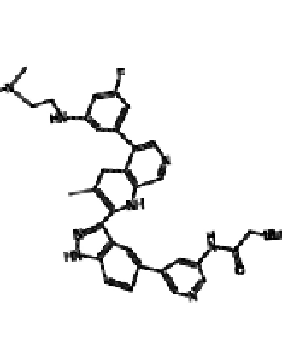 CC1=C(c2n[nH]c3ccc(-c4cncc(NC(=O)CC(C)(C)C)c4)cc23)Nc2cncc(-c3cc(F)cc(NCCN(C)C)c3)c2C1